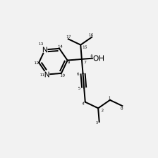 CCC(C)CC#CC(O)(c1cncnc1)C(C)C